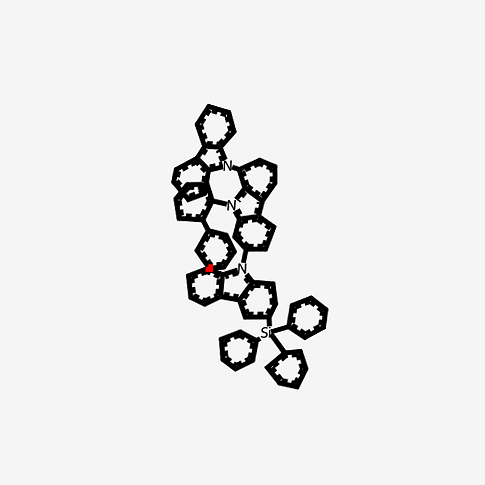 c1ccc(-c2ccccc2-n2c3cc(-n4c5ccccc5c5cc([Si](c6ccccc6)(c6ccccc6)c6ccccc6)ccc54)ccc3c3cccc(-n4c5ccccc5c5ccccc54)c32)cc1